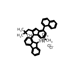 C[SiH](C)[Zr+2][CH]1c2ccccc2-c2cccc(C3C(CC(C)(C)C)=Cc4c(-c5cccc6ccccc56)cccc43)c21.[Cl-].[Cl-]